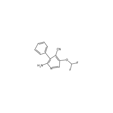 N#Cc1c(OC(F)F)cnc(N)c1-c1ccccc1